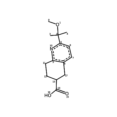 COC(C)(C)c1ccc2c(n1)CCC(C(=O)O)C2